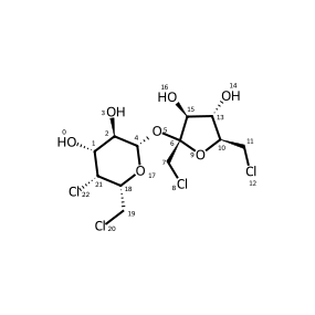 O[C@@H]1[C@@H](O)[C@H](O[C@@]2(CCl)O[C@H](CCl)[C@@H](O)[C@@H]2O)O[C@H](CCl)[C@@H]1Cl